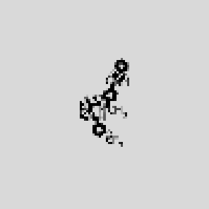 CC(NC(=O)c1c(C(F)(F)F)nn2c1N(Cc1cccc(OC(F)(F)F)c1)CC2)c1ccc(C(=O)NS(=O)(=O)c2ccccc2)cc1